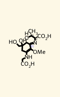 COC1=C(NCC(=O)O)CC(O)(CO)C/C1=N\[C@H](C(=O)O)[C@@H](C)O